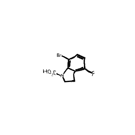 O=C(O)N1CCc2c(F)ccc(Br)c21